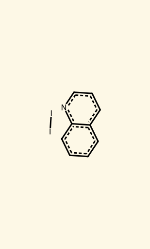 II.c1ccc2ncccc2c1